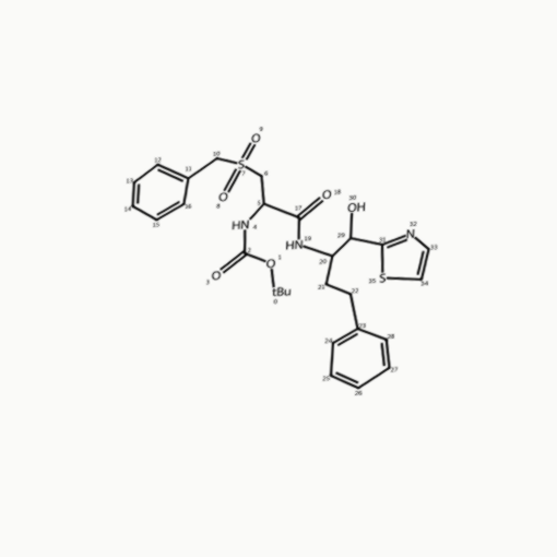 CC(C)(C)OC(=O)NC(CS(=O)(=O)Cc1ccccc1)C(=O)NC(CCc1ccccc1)C(O)c1nccs1